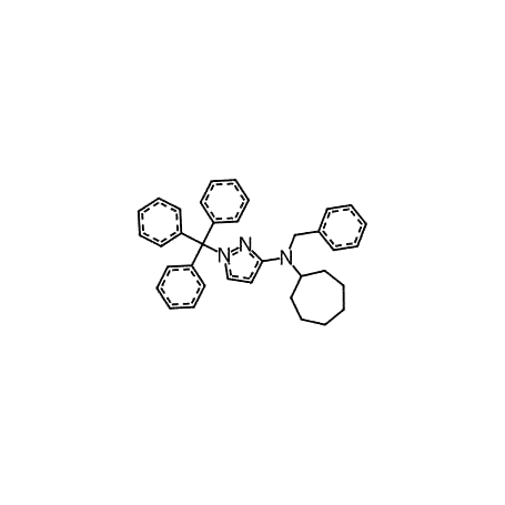 c1ccc(CN(c2ccn(C(c3ccccc3)(c3ccccc3)c3ccccc3)n2)C2CCCCCC2)cc1